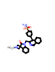 NS(=O)(=O)c1ccc(-c2c(CN3C(=O)C4(CN(C(=O)O)C4)c4ccccc43)ncc3ccccc23)cc1